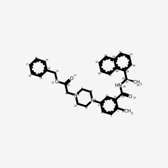 Cc1ccc(N2CCN(CC(=O)OCc3ccccc3)CC2)cc1C(=O)N[C@H](C)c1cccc2ccccc12